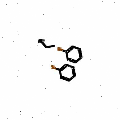 C[CH2][Al+2].[S-]c1ccccc1.[S-]c1ccccc1